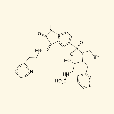 CC(C)CN(C(Cc1ccccc1)C(O)CNC(=O)O)S(=O)(=O)c1ccc2c(c1)C(=CNCCc1ccccn1)C(=O)N2